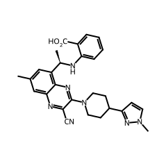 Cc1cc([C@@H](C)Nc2ccccc2C(=O)O)c2nc(N3CCC(c4ccn(C)n4)CC3)c(C#N)nc2c1